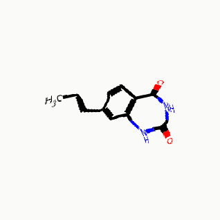 CC=Cc1ccc2c(=O)[nH]c(=O)[nH]c2c1